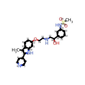 Cc1c(-c2ccncc2)[nH]c2cc(OCCNCC(O)c3cccc(NS(C)(=O)=O)c3)ccc12